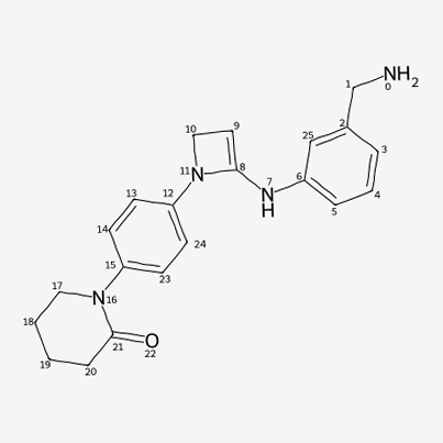 NCc1cccc(NC2=CCN2c2ccc(N3CCCCC3=O)cc2)c1